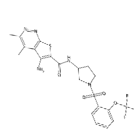 Cc1nnc2sc(C(=O)NC3CCN(S(=O)(=O)c4ccccc4OC(C)(F)F)C3)c(N)c2c1C